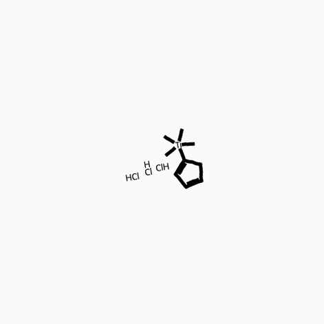 Cl.Cl.Cl.[CH3][Ti]([CH3])([CH3])([CH3])[C]1=CC=CC1